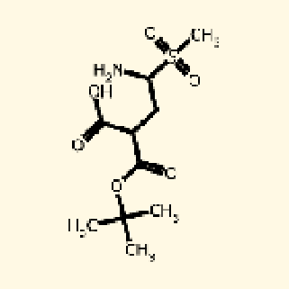 CC(C)(C)OC(=O)C(CC(N)S(C)(=O)=O)C(=O)O